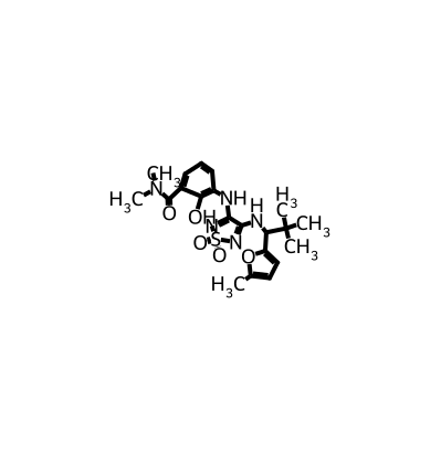 Cc1ccc(C(NC2=NS(=O)(=O)N=C2Nc2cccc(C(=O)N(C)C)c2O)C(C)(C)C)o1